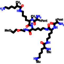 CCCCCC(N)C(=O)NC(CCCCNC(=O)C(CCCCNC(C)(C)C)NC(C)(C)C)C(=O)NCCCCC(NC(=O)C(CCCCNC(=O)C(C)CCCCN)N(C)C(=O)C(N)CCCCC)C(=O)NCCOCCOC